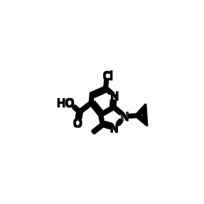 Cc1nn(C2CC2)c2nc(Cl)cc(C(=O)O)c12